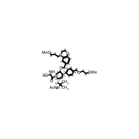 CC[C@H](C)[C@H](N)C(=O)N1C[C@H](OCc2ccc3c(c2)N(CCCOC)CCO3)[C@@H](c2ccc(COCCOC)cc2)C[C@@H]1CC(C)(C)NC(C)=O